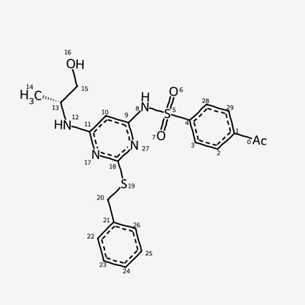 CC(=O)c1ccc(S(=O)(=O)Nc2cc(N[C@H](C)CO)nc(SCc3ccccc3)n2)cc1